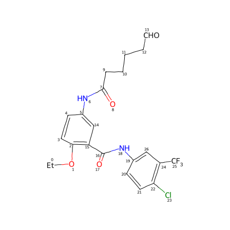 CCOc1ccc(NC(=O)CCCCC=O)cc1C(=O)Nc1ccc(Cl)c(C(F)(F)F)c1